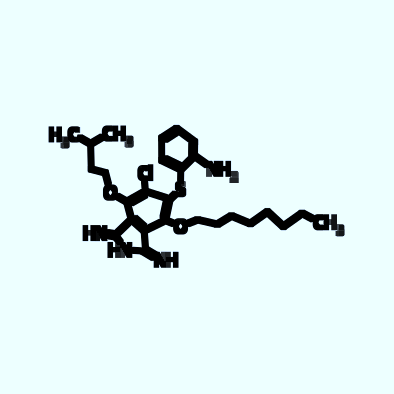 CCCCCCCCOc1c(Sc2ccccc2N)c(Cl)c(OCCC(C)C)c2c1C(=N)NC2=N